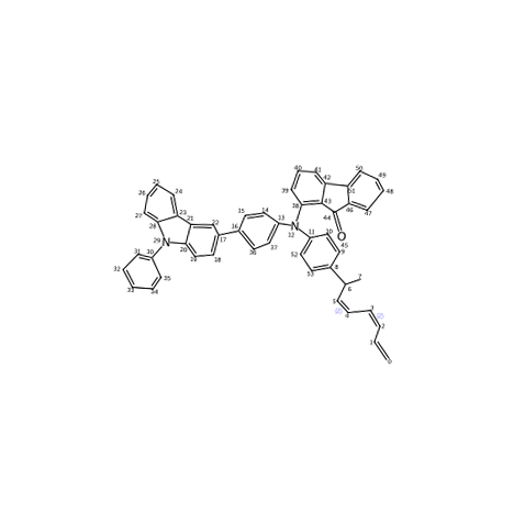 C=C/C=C\C=C/C(C)c1ccc(N(c2ccc(-c3ccc4c(c3)c3ccccc3n4-c3ccccc3)cc2)c2cccc3c2C(=O)c2ccccc2-3)cc1